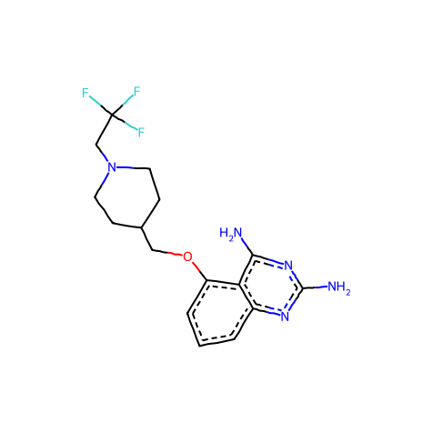 Nc1nc(N)c2c(OCC3CCN(CC(F)(F)F)CC3)cccc2n1